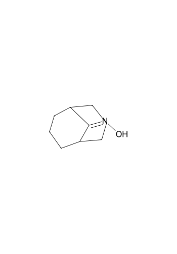 ON=C1C2CCCC1CCC2